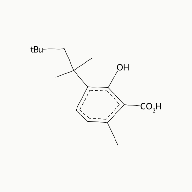 Cc1ccc(C(C)(C)CC(C)(C)C)c(O)c1C(=O)O